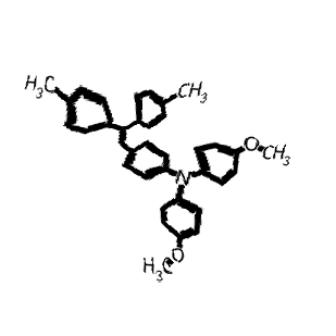 COc1ccc(N(c2ccc(C=C(c3ccc(C)cc3)c3ccc(C)cc3)cc2)c2ccc(OC)cc2)cc1